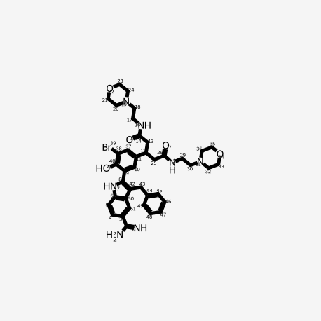 N=C(N)c1ccc2[nH]c(-c3cc(C(CC(=O)NCCN4CCOCC4)CC(=O)NCCN4CCOCC4)cc(Br)c3O)c(Cc3ccccc3)c2c1